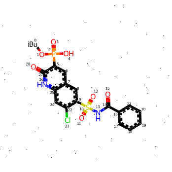 CCC(C)OP(=O)(O)c1cc2cc(S(=O)(=O)NC(=O)c3ccccc3)c(Cl)cc2[nH]c1=O